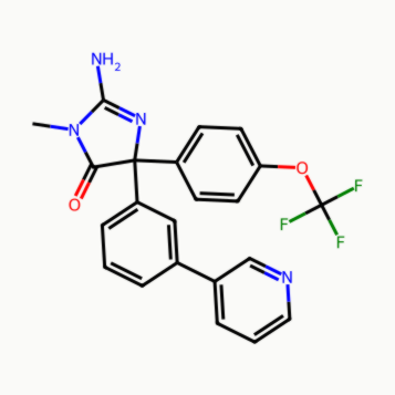 CN1C(=O)C(c2ccc(OC(F)(F)F)cc2)(c2cccc(-c3cccnc3)c2)N=C1N